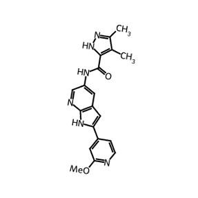 COc1cc(-c2cc3cc(NC(=O)c4[nH]nc(C)c4C)cnc3[nH]2)ccn1